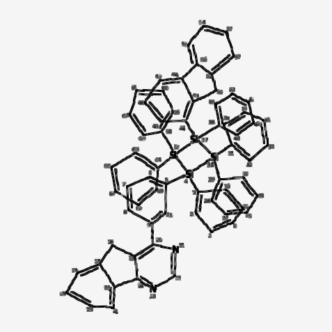 c1ccc([Si]2(c3cccc(-c4ncnc5c4Cc4ccccc4-5)c3)[Si](c3ccccc3)(c3ccccc3)[Si](c3ccccc3)(c3cccc4c3Cc3ccccc3-4)[Si]2(c2ccccc2)c2ccccc2)cc1